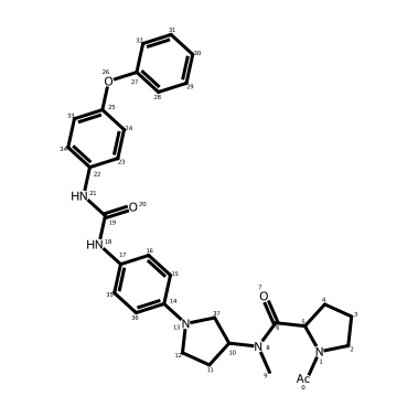 CC(=O)N1CCCC1C(=O)N(C)C1CCN(c2ccc(NC(=O)Nc3ccc(Oc4ccccc4)cc3)cc2)C1